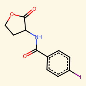 O=C(NC1CCOC1=O)c1ccc(I)cc1